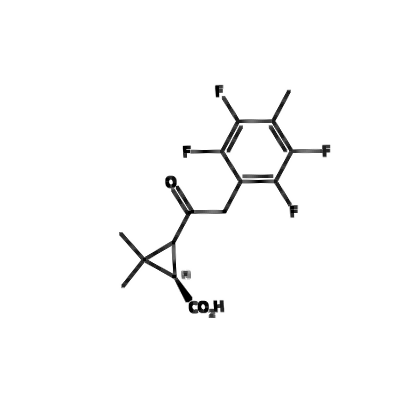 Cc1c(F)c(F)c(CC(=O)C2[C@@H](C(=O)O)C2(C)C)c(F)c1F